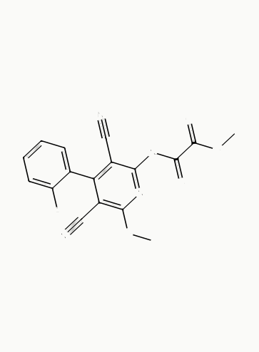 COC(=O)C(=O)Nc1nc(OC)c(C#N)c(-c2ccccc2F)c1C#N